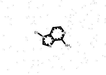 CCn1cnc2c(N)nccc21